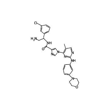 Cc1cnc(Nc2cccc(N3CCOCC3)c2)nc1-n1cnc(C(=O)NC(CN)c2cccc(Cl)c2)c1